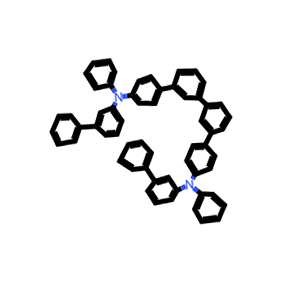 c1ccc(-c2cccc(N(c3ccccc3)c3ccc(-c4cccc(-c5cccc(-c6ccc(N(c7ccccc7)c7cccc(-c8ccccc8)c7)cc6)c5)c4)cc3)c2)cc1